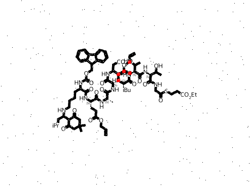 C=CCOC(=O)CC[C@H](NC(=O)C(CCCCNC(CC(C)C)C1C(=O)CC(C)(C)CC1=O)NC(=O)OCC1c2ccccc2-c2ccccc21)C(=O)N[C@@H](C)C(=O)N[C@@H](CCC(=O)OCC=C)C(=O)NC(CC(=O)O)C(=O)N[C@H](C(=O)N[C@H](C(=O)N[C@H](C(=O)NCC(=O)SCCC(=O)OCC)C(C)O)C(C)O)C(C)CC